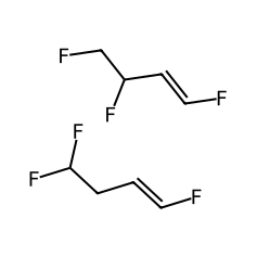 F/C=C/C(F)CF.F/C=C/CC(F)F